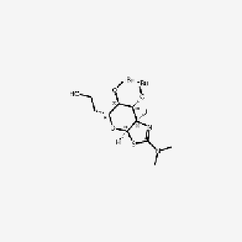 CCCCO[C@@H]1[C@H]2N=C(N(C)C)S[C@H]2O[C@H](CCO)[C@H]1OCCCC